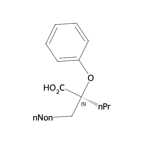 CCCCCCCCCC[C@](CCC)(Oc1ccccc1)C(=O)O